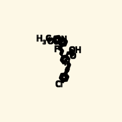 COc1ccc2nccc(C(F)CC[C@@H]3CCN(CC#Cc4ccc(Cl)cc4)C[C@@H]3CC(=O)O)c2c1